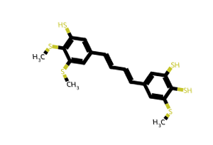 CSc1cc(/C=C/C=C/c2cc(S)c(SC)c(SC)c2)cc(S)c1S